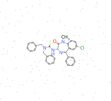 CN1C(=O)C(NC(=S)N(Cc2ccccc2)Cc2ccccc2)N=C(c2ccccc2)c2cc(Cl)ccc21